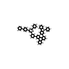 c1ccc(-c2ccc(-c3cc(-c4cccc(-c5ccc6c(c5)c5ccccc5c5cccc(-c7ccc8c9ccccc9n(-c9ccccc9)c8c7)c56)c4)nc(-c4ccccc4)n3)cc2)cc1